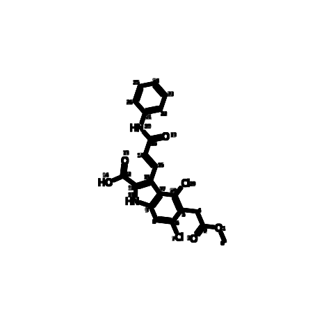 COC(=O)Cc1c(Cl)cc2[nH]c(C(=O)O)c(C=CC(=O)Nc3ccccc3)c2c1Cl